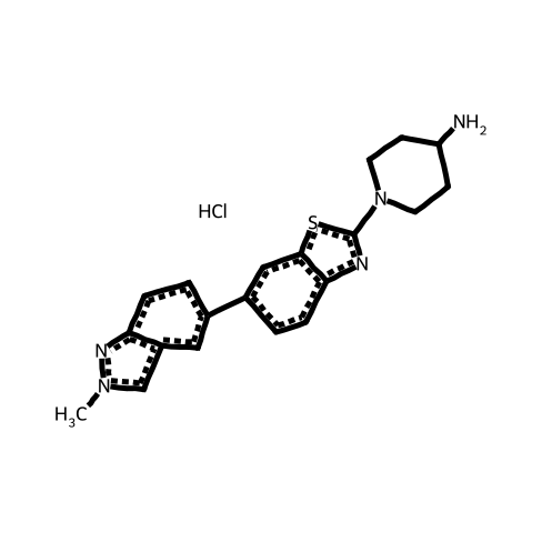 Cl.Cn1cc2cc(-c3ccc4nc(N5CCC(N)CC5)sc4c3)ccc2n1